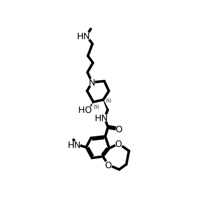 CNCCCCN1CC[C@@H](CNC(=O)c2cc(NC)cc3c2OCCCO3)[C@H](O)C1